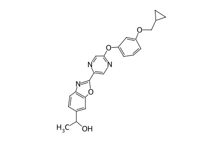 CC(O)c1ccc2nc(-c3cnc(Oc4cccc(OCC5CC5)c4)cn3)oc2c1